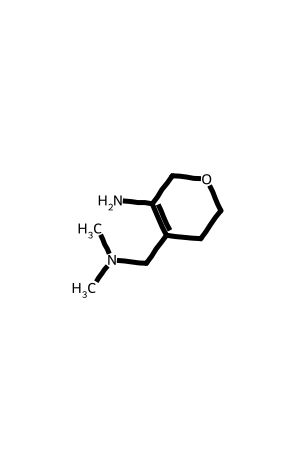 CN(C)CC1=C(N)COCC1